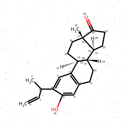 C=CC(C)c1cc2c(cc1O)CC[C@@H]1[C@@H]2CC[C@]2(C)C(=O)CC[C@@H]12